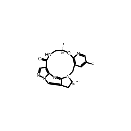 C[C@@H]1Cc2cn3ncc4c3nc2N1Cc1cc(F)cnc1O[C@@H](C)CNC4=O